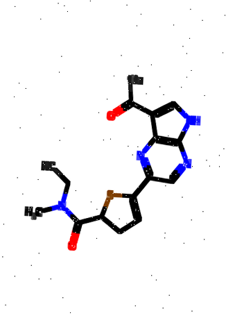 CN(CC#N)C(=O)C1CC=C(c2cnc3[nH]cc(C(=O)C(C)(C)C)c3n2)S1